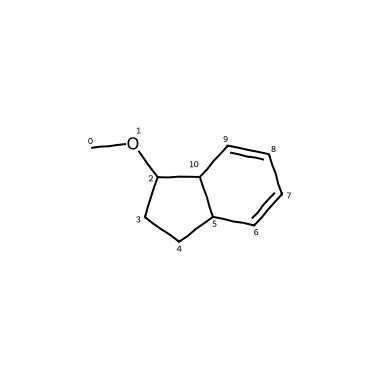 COC1CCC2C=CC=CC21